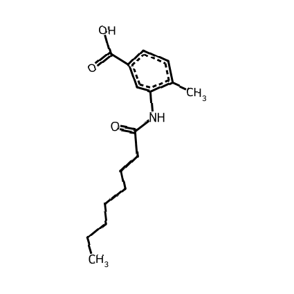 CCCCCCCC(=O)Nc1cc(C(=O)O)ccc1C